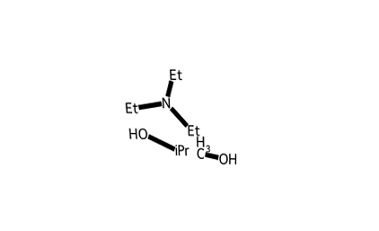 CC(C)O.CCN(CC)CC.CO